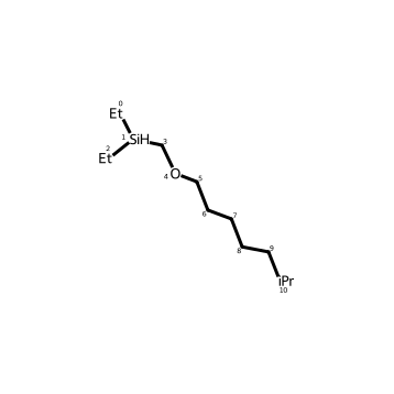 CC[SiH](CC)COCCCCCC(C)C